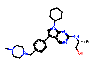 CCC[C@H](CO)Nc1ncc2c(-c3ccc(CN4CCN(C)CC4)cc3)cn(C3CCCCC3)c2n1